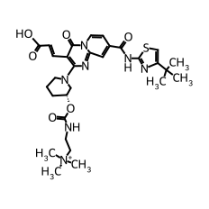 CC(C)(C)c1csc(NC(=O)c2ccn3c(=O)c(C=CC(=O)O)c(N4CCC[C@@H](OC(=O)NCC[N+](C)(C)C)C4)nc3c2)n1